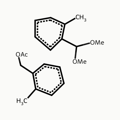 CC(=O)OCc1ccccc1C.COC(OC)c1ccccc1C